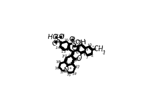 Cc1ccc2c3c(ccc2c1)C(c1ccc(S(=O)(=O)O)cc1S(=O)(=O)O)=c1cc2c4c(c1O3)CCC[N+]=4CCC2